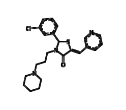 O=C1C(=Cc2cccnc2)SC(c2cccc(Cl)c2)N1CCCN1CCCCC1